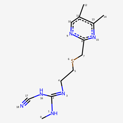 CNC(=NCCSCc1ncc(C)c(C)n1)NC#N